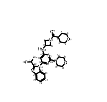 O=C(C1CCOCC1)N1CC(Nc2cc(-n3c(C(F)F)nc4ccccc43)nc(N3CCOCC3)n2)C1